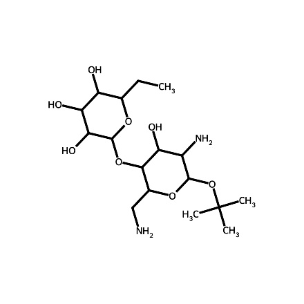 CCC1OC(OC2C(CN)OC(OC(C)(C)C)C(N)C2O)C(O)C(O)C1O